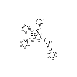 O=C(CCc1cc(OCc2ccccc2)c(OCc2ccccc2)c(OCc2ccccc2)c1)OCc1ccccc1